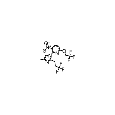 Cc1cn(-c2nc(OCC(F)(F)F)ccc2[N+](=O)[O-])c(CCC(F)(F)F)n1